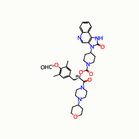 Cc1cc(C[C@@H](OC(=O)N2CCC(n3c(=O)[nH]c4c5ccccc5ncc43)CC2)C(=O)N2CCN(C3CCOCC3)CC2)cc(C)c1OC=O